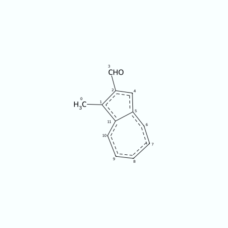 Cc1c(C=O)cc2cccccc1-2